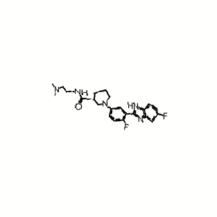 CN(C)CCNC(=O)[C@H]1CCCN(c2ccc(F)c(-c3nc4cc(F)ccc4[nH]3)c2)C1